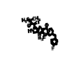 COc1nc2c[nH]c(C(=O)C(=O)N(C)C)c2nc1C(=O)N1CCC(Cc2ccc(F)cc2)CC1